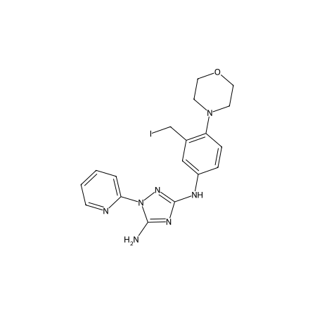 Nc1nc(Nc2ccc(N3CCOCC3)c(CI)c2)nn1-c1ccccn1